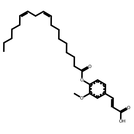 CCCCC/C=C\C/C=C\CCCCCCCC(=O)Oc1ccc(C=CC(=O)O)cc1OC